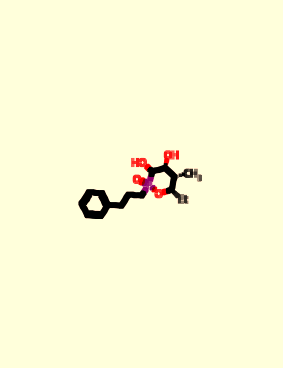 CC[C@H]1OP(=O)(CCCc2ccccc2)C(O)[C@@H](O)[C@@H]1C